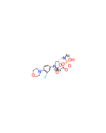 CC(=O)N(C[C@H]1CN(c2ccc(N3CCOCC3)c(F)c2)C(=O)O1)P(=O)(O)OC(=O)C(C)(C)C